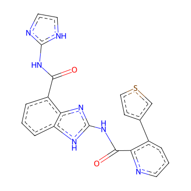 O=C(Nc1nc2c(C(=O)Nc3ncc[nH]3)cccc2[nH]1)c1ncccc1-c1ccsc1